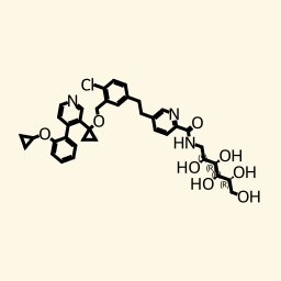 O=C(NC[C@H](O)[C@@H](O)[C@H](O)[C@H](O)CO)c1ccc(CCc2ccc(Cl)c(COC3(c4cnccc4-c4ccccc4OC4CC4)CC3)c2)cn1